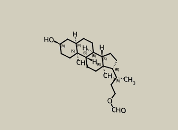 C[C@H](CCOC=O)[C@H]1CC[C@H]2[C@@H]3CC[C@@H]4C[C@H](O)CC[C@]4(C)[C@H]3CC[C@]12C